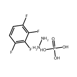 Fc1ccc(F)c(F)c1F.NN.O=P(O)(O)O